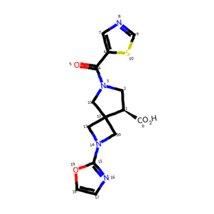 O=C(O)[C@@H]1CN(C(=O)c2cncs2)CC12CN(c1ncco1)C2